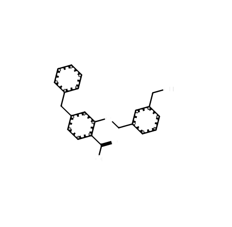 CCc1cccc(COc2cc(Cc3ccccc3)ccc2C(=O)O)c1